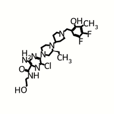 CC[C@H]1CN(c2nc(N)c(C(=O)NCCO)nc2Cl)CCN1C1CCN(Cc2cc(F)c(F)c(C)c2O)CC1